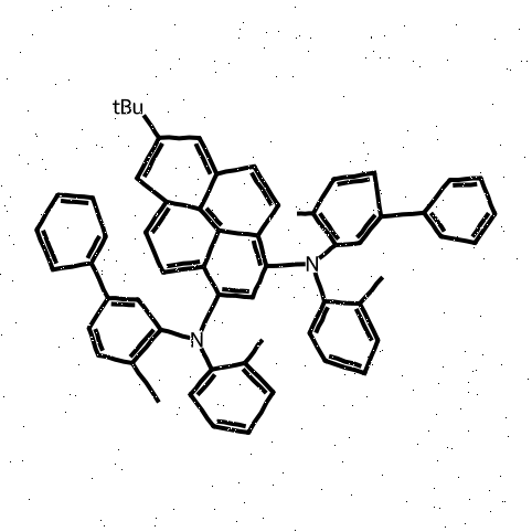 Cc1ccccc1N(c1cc(-c2ccccc2)ccc1C)c1cc(N(c2ccccc2C)c2cc(-c3ccccc3)ccc2C)c2ccc3cc(C(C)(C)C)cc4ccc1c2c43